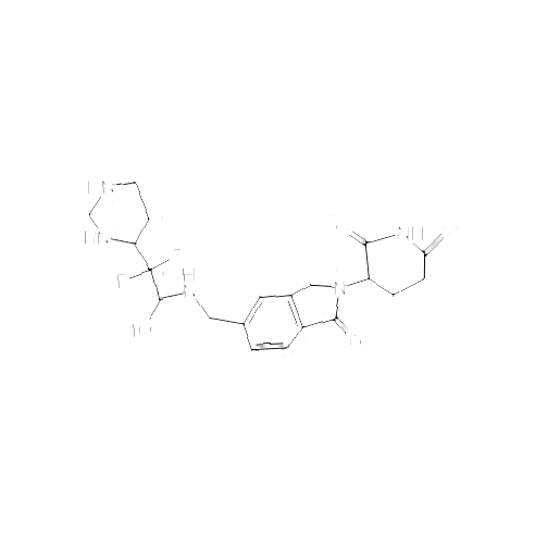 O=C1CCC(N2Cc3cc(CNC(O)C(F)(F)C4CCNCN4)ccc3C2=O)C(=O)N1